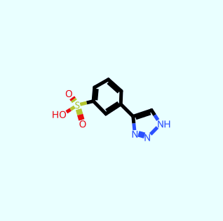 O=S(=O)(O)c1cccc(-c2c[nH]nn2)c1